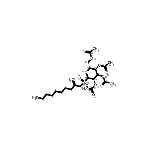 C=C(CCCCCCCC)CS(=O)(=O)C1O[C@H](COC(C)=O)[C@@H](OC(C)=O)C(OC(C)=O)[C@H]1OC(C)=O